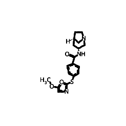 COc1cnc(Sc2ccc(C(=O)N[C@@H]3C[C@H]4CCN(C4)C3)cc2)o1